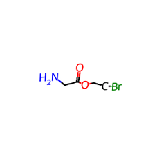 NCC(=O)OCCBr